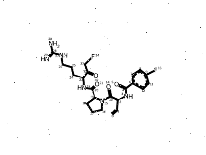 C=C[C@H](NC(=O)c1ccc(F)cc1)C(=O)N1CCC[C@H]1C(=O)N[C@@H](CCCNC(=N)N)C(=O)CF